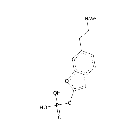 CNCCc1ccc2cc(OP(=O)(O)O)oc2c1